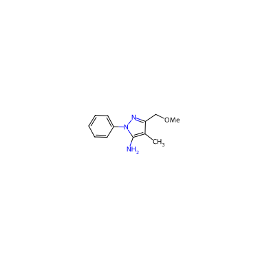 COCc1nn(-c2ccccc2)c(N)c1C